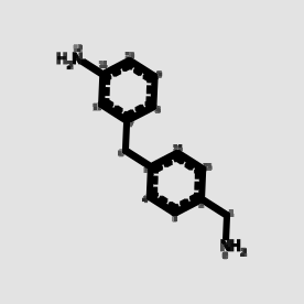 NCc1ccc(Cc2cc[c]c(N)c2)cc1